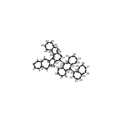 c1ccc2cc3c(cc2c1)sc1c(-c2c4ccccc4c(-c4cccc5ccccc45)c4ccccc24)cc2sc4ccccc4c2c13